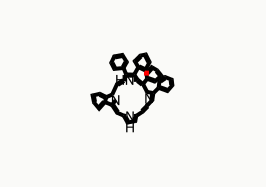 C1=C(c2ccccc2)c2nc1cc1ccc(cc3nc(cc4[nH]c(c2-c2ccccc2)c(-c2ccccc2)c4-c2ccccc2)-c2ccccc2-3)[nH]1